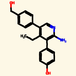 CCc1c(-c2ccc(CO)cc2)cnc(N)c1-c1ccc(O)cc1